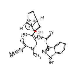 CNC(=O)N(C)CC(O)CN1[C@@H]2CC[C@H]1C[C@H](NC(=O)c1nn(C(C)C)c3ccccc13)C2